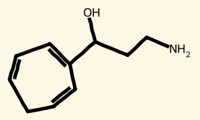 NCCC(O)C1=CC=CCC=C1